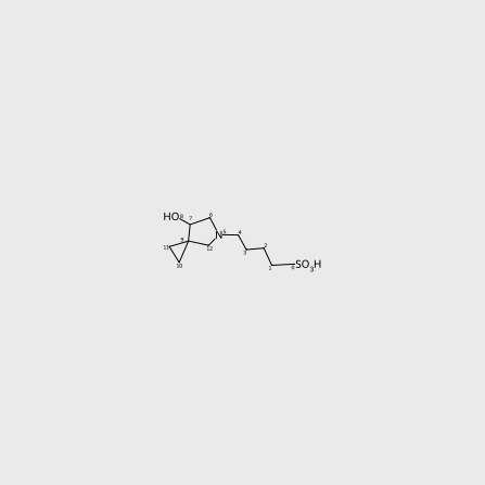 O=S(=O)(O)CCCCN1CC(O)C2(CC2)C1